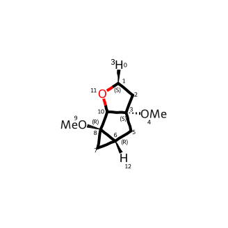 [3H][C@H]1C[C@@]2(OC)C[C@@H]3C[C@]3(OC)C2O1